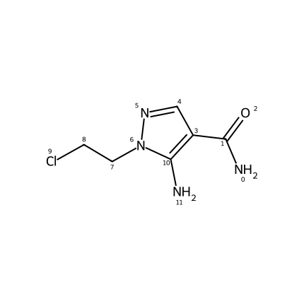 NC(=O)c1cnn(CCCl)c1N